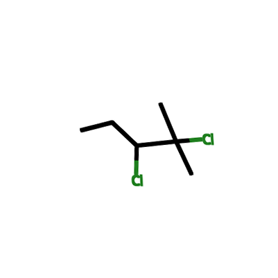 CCC(Cl)C(C)(C)Cl